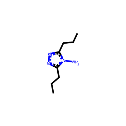 CCCc1nnc(CCC)n1N